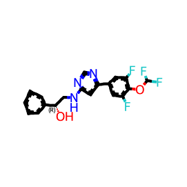 O[C@@H](CNc1cc(-c2cc(F)c(OC(F)F)c(F)c2)ncn1)c1ccccc1